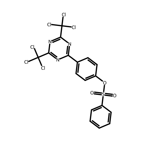 O=S(=O)(Oc1ccc(-c2nc(C(Cl)(Cl)Cl)nc(C(Cl)(Cl)Cl)n2)cc1)c1ccccc1